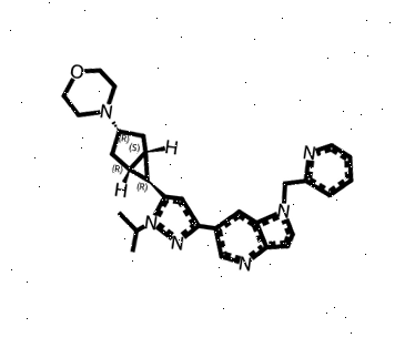 CC(C)n1nc(-c2cnc3ccn(Cc4ccccn4)c3c2)cc1[C@H]1[C@@H]2C[C@H](N3CCOCC3)C[C@@H]21